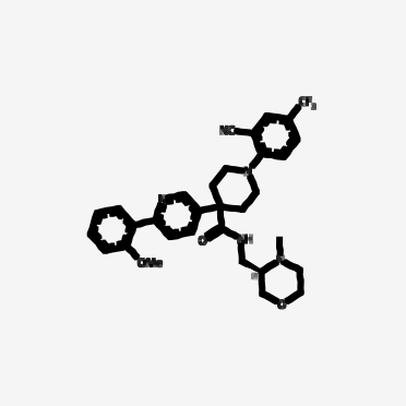 COc1ccccc1-c1ccc(C2(C(=O)NC[C@@H]3COCCN3C)CCN(c3ccc(C(F)(F)F)cc3C#N)CC2)cn1